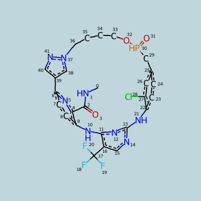 CNC(=O)c1nc2ccc1Nc1nc(ncc1C(F)(F)F)Nc1ccc(cc1Cl)C[PH](=O)OCCCCn1cc-2cn1